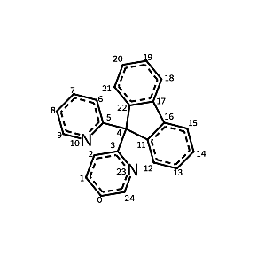 c1ccc(C2(c3ccccn3)c3ccccc3-c3ccccc32)nc1